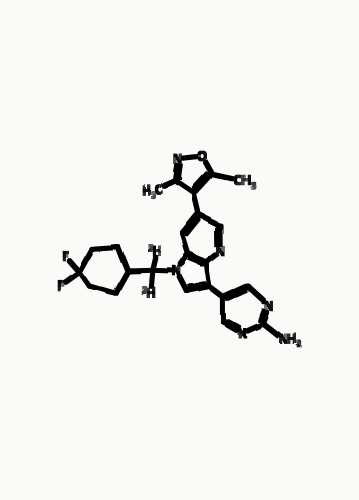 [2H]C([2H])(C1CCC(F)(F)CC1)n1cc(-c2cnc(N)nc2)c2ncc(-c3c(C)noc3C)cc21